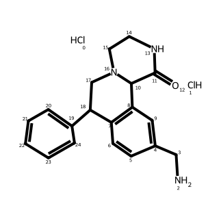 Cl.Cl.NCc1ccc2c(c1)C1C(=O)NCCN1CC2c1ccccc1